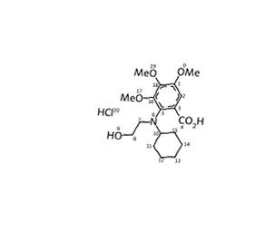 COc1cc(C(=O)O)c(N(CCO)C2CCCCC2)c(OC)c1OC.Cl